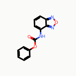 O=C(Nc1cccc2nonc12)Oc1ccccc1